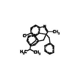 CC1=Nc2ccc(Cl)c(CCC(C)C)c2C1(Cc1ccccc1)Cc1ccccc1